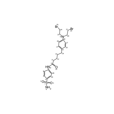 NS(=O)(=O)c1ccc(NC(=O)CCCCc2ccc(N(CCBr)CCBr)cc2)cc1